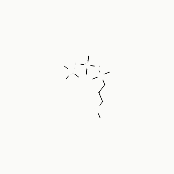 COCCC[Si](C)(C)O[Si](C)(C)O[Si](C)(C)C